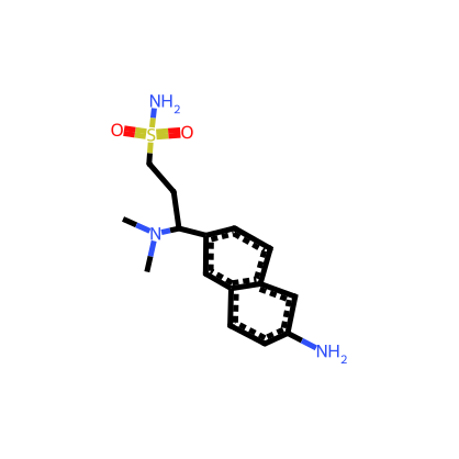 CN(C)C(CCS(N)(=O)=O)c1ccc2cc(N)ccc2c1